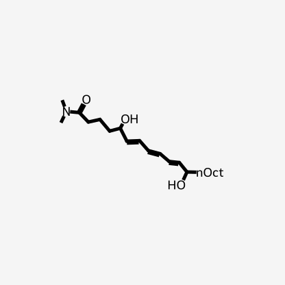 CCCCCCCCC(O)C=CC=CC=CC(O)CCCC(=O)N(C)C